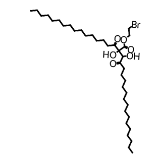 CCCCCCCCCCCCCCCC(=O)C(O)C(O)(C(=O)CCCCCCCCCCCCCCC)C(=O)OCCBr